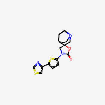 O=C1OC2(CN3CCC2CC3)CN1c1ccc(-c2cscn2)s1